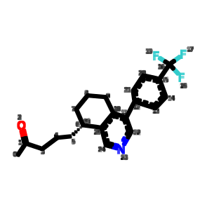 CC(=O)CCC[C@@H]1CCCc2c(-c3ccc(C(F)(F)F)cc3)cncc21